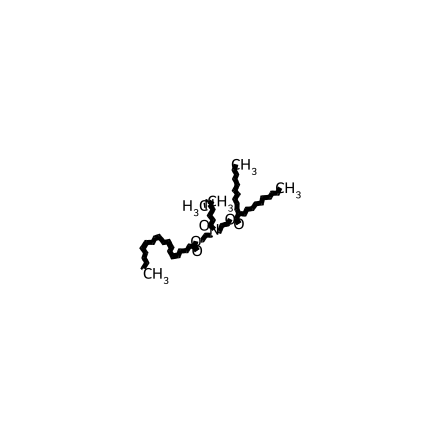 CCCCC/C=C\C/C=C\C/C=C\C/C=C\CCCC(=O)OCCCN(CCCOC(=O)C(CCCCCCCCCC)CCCCCCCCCC)C(=O)CCCN(C)C